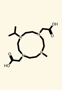 CC(C)N1CCN(CC(=O)O)CCN(C)CCN(CC(=O)O)CC1